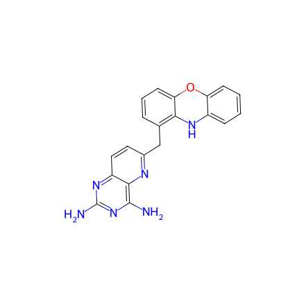 Nc1nc(N)c2nc(Cc3cccc4c3Nc3ccccc3O4)ccc2n1